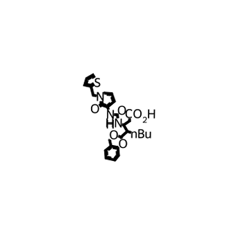 CCCCC(C(CC(=O)O)NC(=O)Nc1cccn(Cc2cccs2)c1=O)C1OCc2ccccc2O1